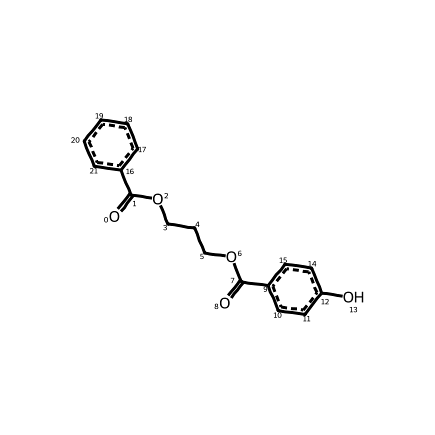 O=C(OCCCOC(=O)c1ccc(O)cc1)c1ccccc1